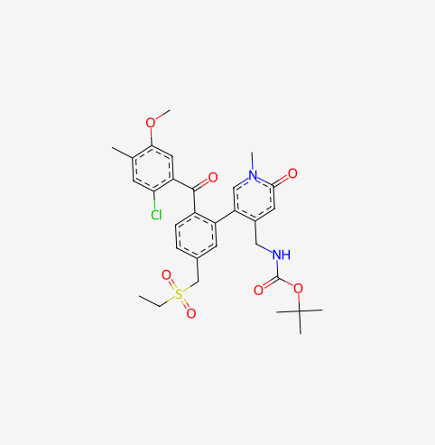 CCS(=O)(=O)Cc1ccc(C(=O)c2cc(OC)c(C)cc2Cl)c(-c2cn(C)c(=O)cc2CNC(=O)OC(C)(C)C)c1